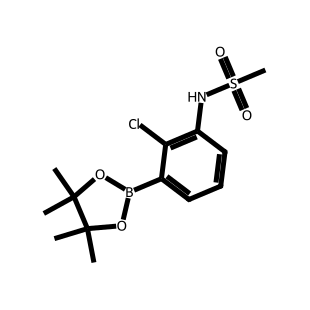 CC1(C)OB(c2cccc(NS(C)(=O)=O)c2Cl)OC1(C)C